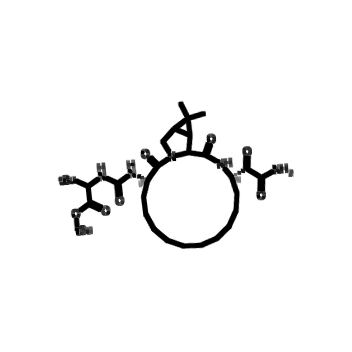 CC(C)(C)OC(=O)C(NC(=O)N[C@H]1CCCCCCCCCC[C@@H](C(=O)C(N)=O)NC(=O)C2C3C(CN2C1=O)C3(C)C)C(C)(C)C